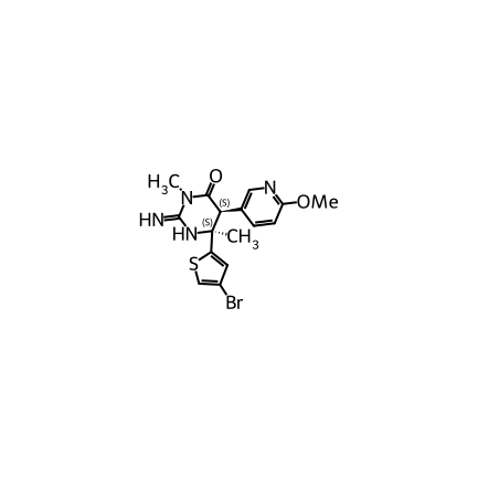 COc1ccc([C@@H]2C(=O)N(C)C(=N)N[C@]2(C)c2cc(Br)cs2)cn1